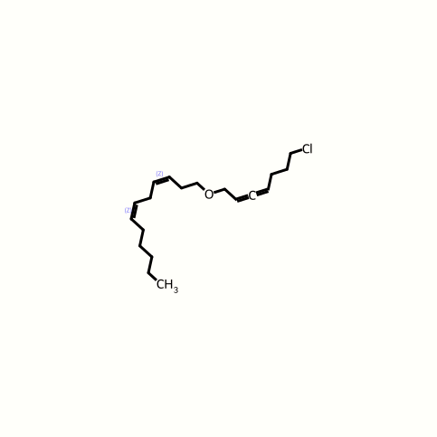 CCCCC/C=C\C/C=C\CCOCC=C=CCCCCl